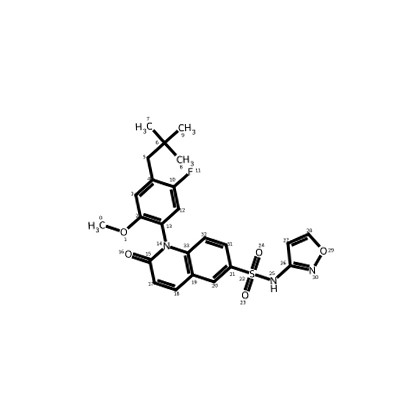 COc1cc(CC(C)(C)C)c(F)cc1-n1c(=O)ccc2cc(S(=O)(=O)Nc3ccon3)ccc21